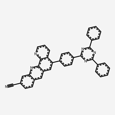 N#Cc1ccc2cc3cc(-c4ccc(-c5nc(-c6ccccc6)nc(-c6ccccc6)n5)cc4)c4cccnc4c3nc2c1